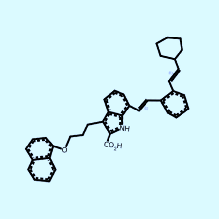 O=C(O)c1[nH]c2c(/C=C/c3ccccc3/C=C/C3CCCCC3)cccc2c1CCCOc1cccc2ccccc12